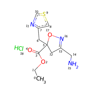 CCOC(=O)C1(Cc2cscn2)CC(CN)=NO1.Cl